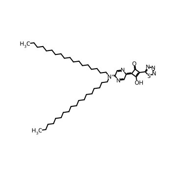 CCCCCCCCCCCCCCCCCC[N+](CCCCCCCCCCCCCCCCCC)=C1C=N/C(=C2\C(=O)C(c3nnns3)=C2O)C=N1